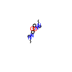 CCCCN1CCC/C1=N/c1ccccc1S(=O)(=O)c1ccc(/N=C2\CCCN2CCCC)cc1